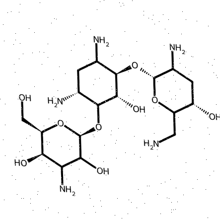 NCC1O[C@H](O[C@@H]2C(N)C[C@@H](N)C(O[C@@H]3O[C@H](CO)[C@H](O)C(N)C3O)[C@H]2O)C(N)C[C@@H]1O